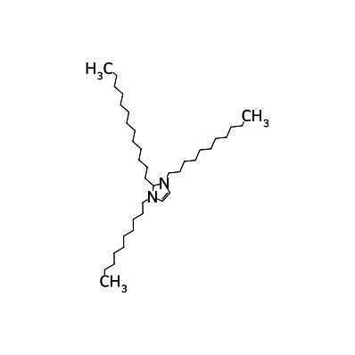 CCCCCCCCCCCCCC1N(CCCCCCCCCC)C=CN1CCCCCCCCCCC